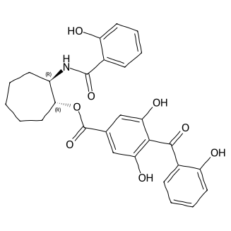 O=C(O[C@@H]1CCCCC[C@H]1NC(=O)c1ccccc1O)c1cc(O)c(C(=O)c2ccccc2O)c(O)c1